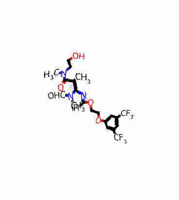 C/C(C(=O)N(C)CCO)=C(\N=C(\OCCOc1cc(C(F)(F)F)cc(C(F)(F)F)c1)C(C)C)N(C)C=O